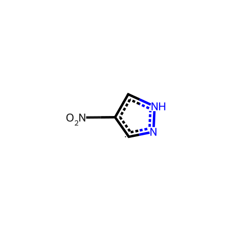 O=[N+]([O-])c1[c]n[nH]c1